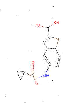 O=S(=O)(Nc1ccc2sc(B(O)O)cc2c1)C1CC1